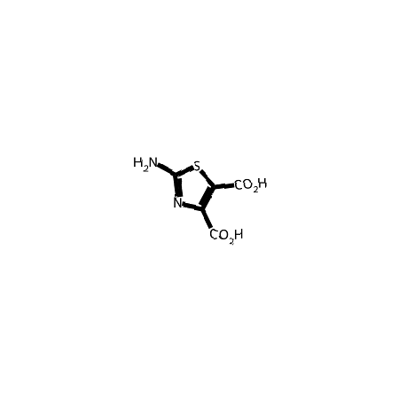 Nc1nc(C(=O)O)c(C(=O)O)s1